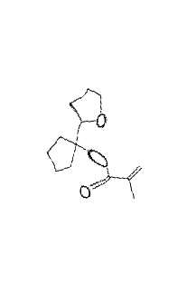 C=C(C)C(=O)OC1(C2CCCO2)CCCC1